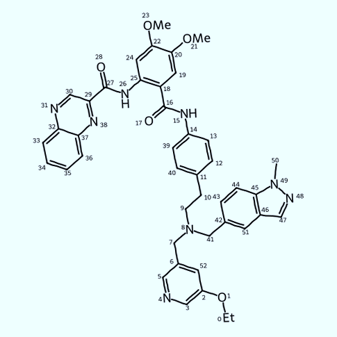 CCOc1cncc(CN(CCc2ccc(NC(=O)c3cc(OC)c(OC)cc3NC(=O)c3cnc4ccccc4n3)cc2)Cc2ccc3c(cnn3C)c2)c1